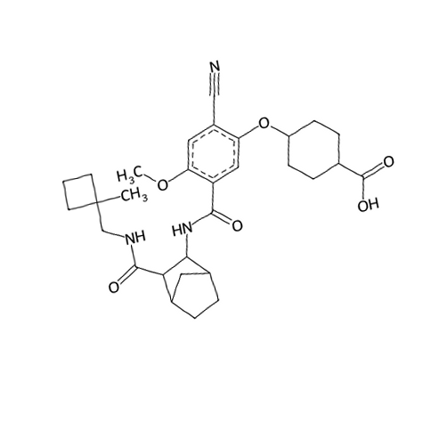 COc1cc(C#N)c(OC2CCC(C(=O)O)CC2)cc1C(=O)NC1C2CCC(C2)C1C(=O)NCC1(C)CCC1